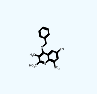 Cc1c(C(=O)O)nc2c([N+](=O)[O-])cc(C#N)cc2c1OCc1ccccc1